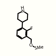 CSOCc1cccc(C2CCNCC2)c1F